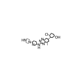 Cc1cc(-c2cc(O)ccc2Cl)cc2nnc(Nc3ccc(N4CCNCC4)nc3)nc12